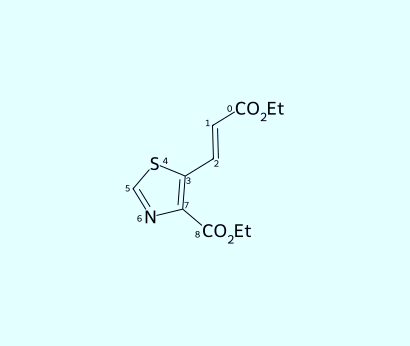 CCOC(=O)/C=C/c1scnc1C(=O)OCC